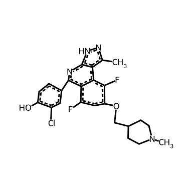 Cc1n[nH]c2nc(-c3ccc(O)c(Cl)c3)c3c(F)cc(OCC4CCN(C)CC4)c(F)c3c12